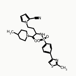 Cc1nc(-c2ccc(S(=O)(=O)NC(CCn3cccc3C#N)C(=O)N3CCC(C)CC3)cc2)cs1